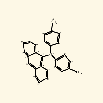 Cc1ccc(N(c2ccc(C)cc2)c2c3ccccc3cc3ccccc23)cc1